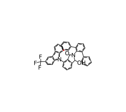 O=C1c2c(cccc2-n2c3ccccc3c3cc(C(F)(F)F)ccc32)C(O)N1c1c(-c2ccccc2)cccc1-c1ccccc1